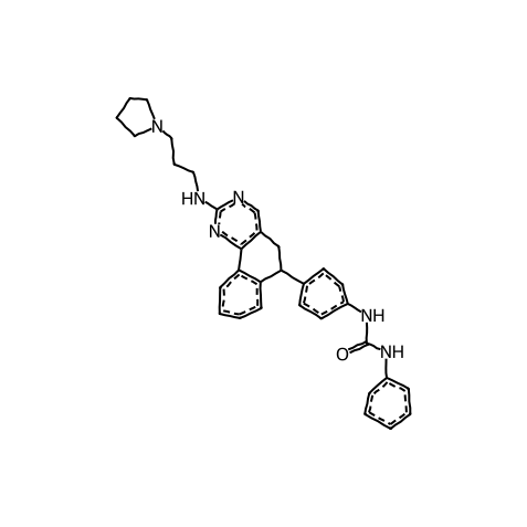 O=C(Nc1ccccc1)Nc1ccc(C2Cc3cnc(NCCCN4CCCC4)nc3-c3ccccc32)cc1